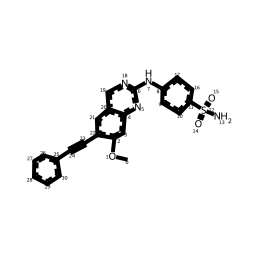 COc1cc2nc(Nc3ccc(S(N)(=O)=O)cc3)ncc2cc1C#Cc1ccccc1